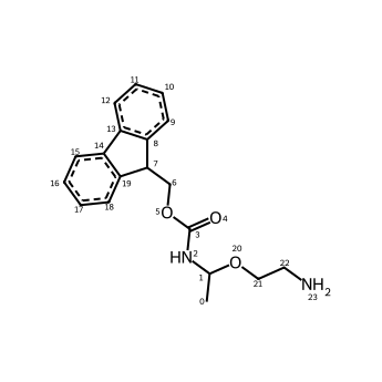 CC(NC(=O)OCC1c2ccccc2-c2ccccc21)OCCN